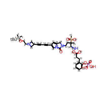 CC(C)(C)[Si](C)(C)OCCN1CC(C#CC#Cc2cc3n(c2)C(=O)N(CCC(C)(CNOC(=O)CCc2ccccc2OP(=O)(O)O)S(C)(=O)=O)C3)C1